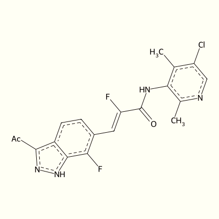 CC(=O)c1n[nH]c2c(F)c(/C=C(\F)C(=O)Nc3c(C)ncc(Cl)c3C)ccc12